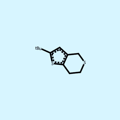 CC(C)(C)c1cc2c(s1)CCSC2